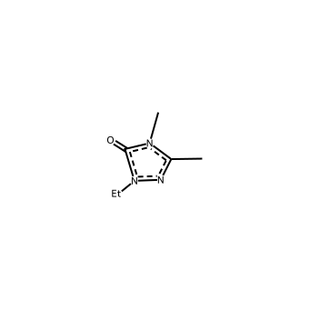 CCn1nc(C)n(C)c1=O